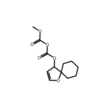 COC(=O)OC(=O)OC1C=COC12CCCCC2